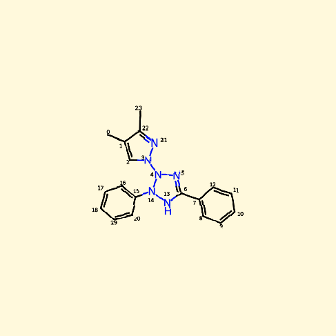 Cc1cn(N2N=C(c3ccccc3)NN2c2ccccc2)nc1C